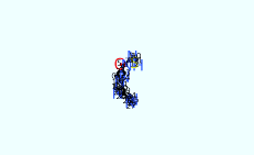 Cc1cc(C(=O)NCc2nccs2)cnc1N1CCc2ncc(-c3cnn(C)c3)cc2C1